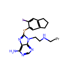 CC(C)CNCCn1c(Sc2cc3c(cc2I)CCC3)nc2c(N)ncnc21